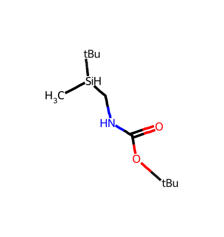 C[SiH](CNC(=O)OC(C)(C)C)C(C)(C)C